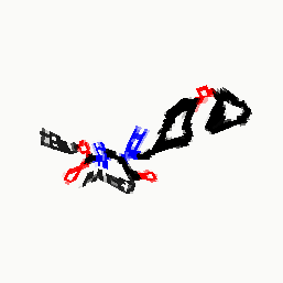 COC(=O)C(CNC(=O)OC(C)(C)C)NCc1ccc(Oc2ccccc2)cc1